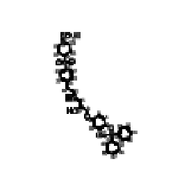 CC(C)(C)[Si](Oc1ccc(OC[C@@H](O)CNCCc2ccc(S(=O)(=O)C3CCN(C(=O)O)CC3)cc2)cc1)(c1ccccc1)c1ccccc1